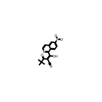 CC(C)(C)C(=O)C(C#N)=C(O)c1nccc2cc([N+](=O)[O-])ccc12